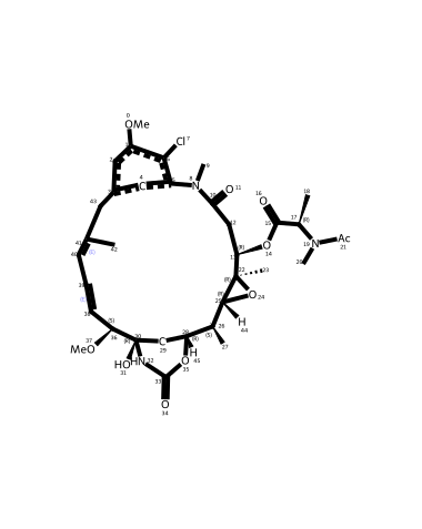 COc1cc2cc(c1Cl)N(C)C(=O)C[C@@H](OC(=O)[C@@H](C)N(C)C(C)=O)[C@@]1(C)O[C@@H]1[C@@H](C)[C@H]1C[C@](O)(NC(=O)O1)[C@@H](OC)/C=C/C=C(\C)C2